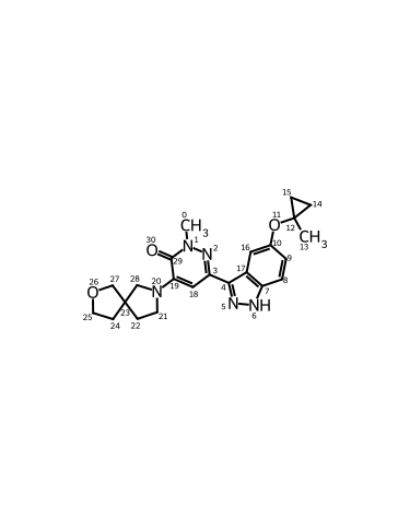 Cn1nc(-c2n[nH]c3ccc(OC4(C)CC4)cc23)cc(N2CCC3(CCOC3)C2)c1=O